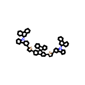 C1=C(c2ccc3c(c2)c2ccccc2n3-c2cc3ccccc3c3ccccc23)SC(c2ccc3c(c2)C2(c4ccccc4-c4ccccc42)c2cc(-c4ccc(-c5ccc6c(c5)c5ccccc5n6-c5cc6ccccc6c6ccccc56)s4)ccc2-3)C1